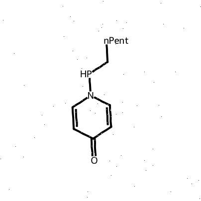 CCCCCCPn1ccc(=O)cc1